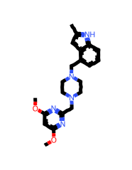 COc1cc(OC)nc(CN2CCN(Cc3cccc4[nH]c(C)cc34)CC2)n1